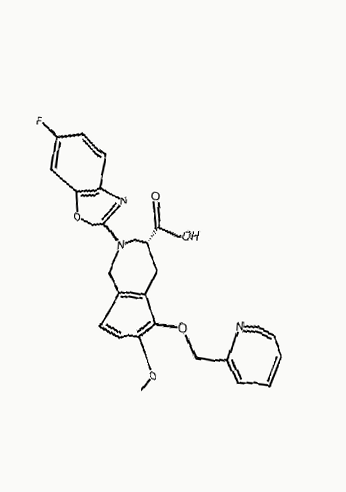 COc1ccc2c(c1OCc1ccccn1)C[C@@H](C(=O)O)N(c1nc3ccc(F)cc3o1)C2